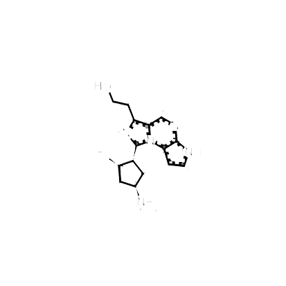 CC[C@@H]1C[C@H](N)C[C@@H]1c1nc(CCO)c2cnc3[nH]ccc3n12